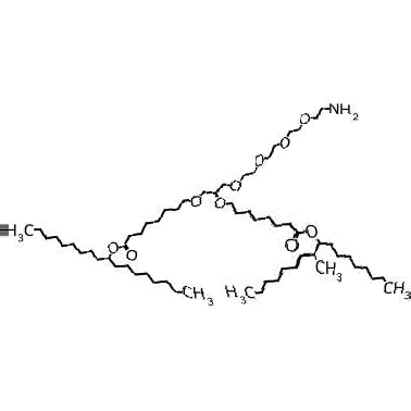 CCCCCCCCCC(CCCCCCCC)OC(=O)CCCCCCCOCC(COCCOCCOCCOCCN)OCCCCCCCC(=O)OC(CCCCCCCC)C(C)CCCCCCC